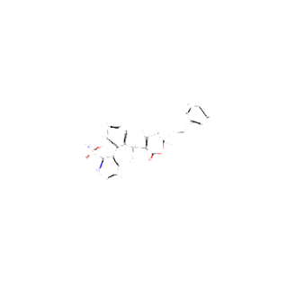 CCCC1(CCc2ccccc2)CC(O)=C(C(CC)c2ccccc2-c2cccnc2S(N)(=O)=O)C(=O)O1